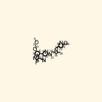 COCCOc1cc(-c2ccc(N(C)CC3CC(C)N3Cc3ccc(OC)nc3)nc2)c2c(C#N)c(F)nn2c1